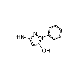 [NH]c1cc(O)n(-c2ccccc2)n1